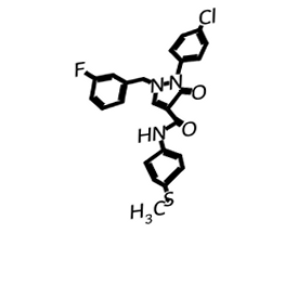 CSc1ccc(NC(=O)c2cn(Cc3cccc(F)c3)n(-c3ccc(Cl)cc3)c2=O)cc1